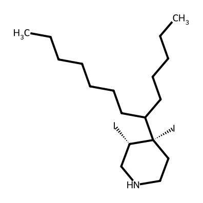 CCCCCCCC(CCCCC)[C@@]1(I)CCNC[C@@H]1I